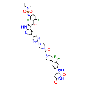 CCN(C)S(=O)(=O)Nc1ccc(F)c(C(=O)c2c[nH]c3ncc(-c4cnc(N5CCN(C(=O)CN6CCC(c7ccc(NC8CCC(=O)NC8=O)cc7C(F)F)CC6)CC5)nc4)cc23)c1F